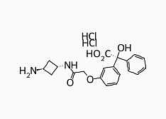 Cl.Cl.N[C@H]1C[C@H](NC(=O)COc2cccc([C@](O)(C(=O)O)c3ccccc3)c2)C1